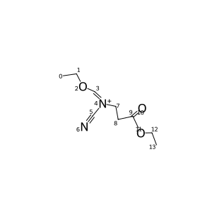 CCOC=[N+](C#N)CCC(=O)OCC